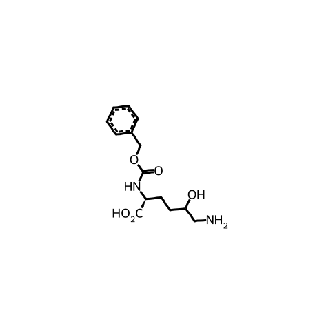 NCC(O)CC[C@H](NC(=O)OCc1ccccc1)C(=O)O